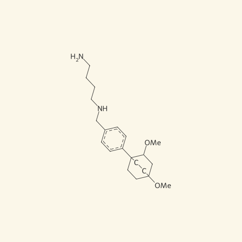 COC1CC2(OC)CCC1(c1ccc(CNCCCCN)cc1)CC2